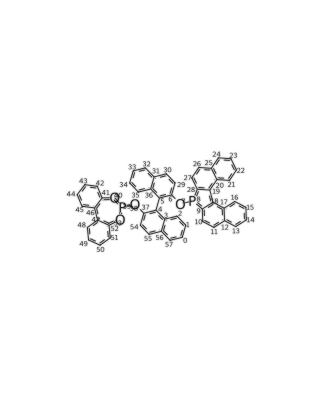 c1ccc2c(-c3c(Op4c5ccc6ccccc6c5c5c6ccccc6ccc54)ccc4ccccc34)c(Op3oc4ccccc4c4ccccc4o3)ccc2c1